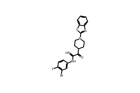 N=C(Nc1ccc(F)c(Br)c1)C(=O)C1CCN(c2nc3ccccc3s2)CC1